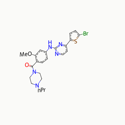 CCCN1CCN(C(=O)c2ccc(Nc3nccc(-c4ccc(Br)s4)n3)cc2OC)CC1